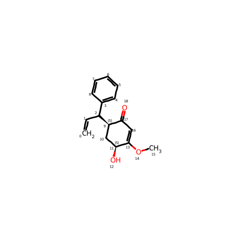 C=CC(c1ccccc1)[C@@H]1C[C@H](O)C(OC)=CC1=O